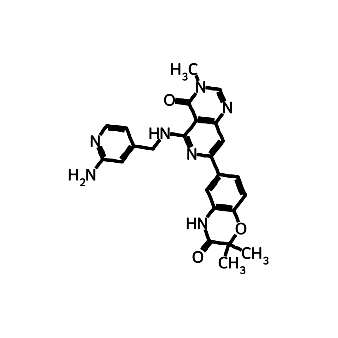 Cn1cnc2cc(-c3ccc4c(c3)NC(=O)C(C)(C)O4)nc(NCc3ccnc(N)c3)c2c1=O